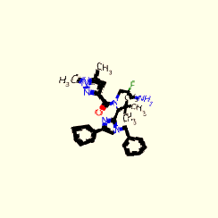 Cc1cc(C(=O)N(C[C@@H](F)CN)[C@@H](c2nc(-c3ccccc3)cn2Cc2ccccc2)C(C)(C)C)nn1C